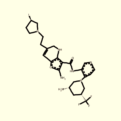 Nc1oc2c(c1C(=O)Nc1cnccc1N1C[C@@H](N)C[C@@H](C(F)(F)F)C1)NCC(CCN1CC[C@@H](I)C1)=C2